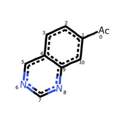 CC(=O)c1ccc2cncnc2c1